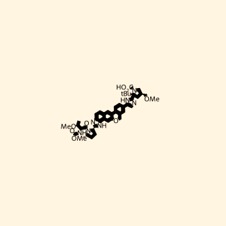 COC[C@@H]1CN(C(=O)O)[C@](c2ncc(-c3ccc4c(c3)COc3cc5c(ccc6nc([C@@H]7CC[C@H](C)N7C(=O)[C@@H](NC(=O)OC)[C@@H](C)OC)[nH]c65)cc3-4)[nH]2)(C(C)(C)C)C1